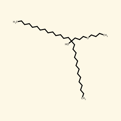 CCCCCCCCCCCCCCC(O)(CCCCCCCCCCCCCC)CCCOCCCC